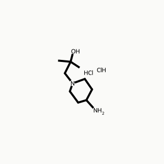 CC(C)(O)CN1CCC(N)CC1.Cl.Cl